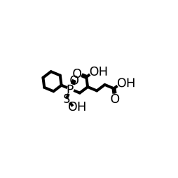 O=C(O)CCC(CP(=O)(SO)C1CCCCC1)C(=O)O